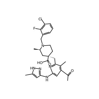 CC(=O)c1cc(Nc2cc(C)[nH]n2)nc(C[C@@]2(C(=O)O)CCN(Cc3cccc(Cl)c3F)[C@H](C)C2)c1C